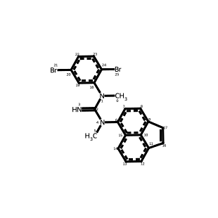 CN(C(=N)N(C)c1ccc2c3c(cccc13)C=C2)c1cc(Br)ccc1Br